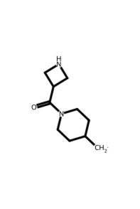 [CH2]C1CCN(C(=O)C2CNC2)CC1